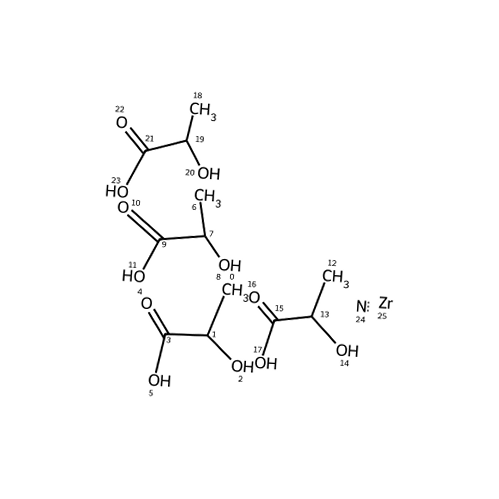 CC(O)C(=O)O.CC(O)C(=O)O.CC(O)C(=O)O.CC(O)C(=O)O.[N].[Zr]